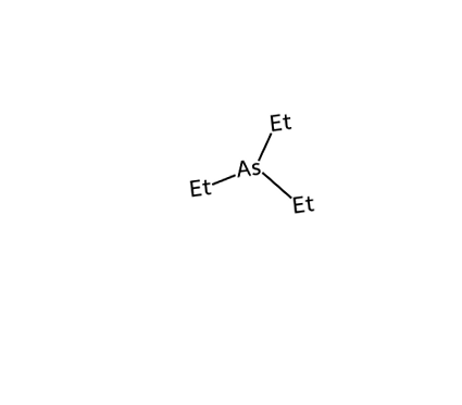 CC[As](CC)CC